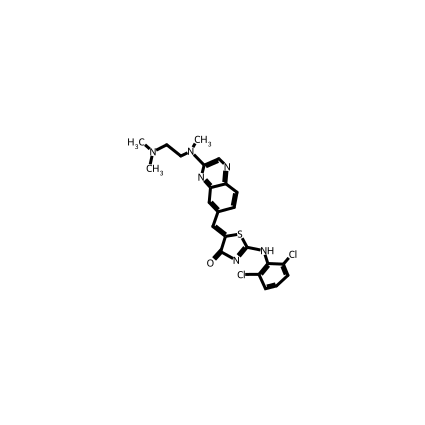 CN(C)CCN(C)c1cnc2ccc(/C=C3\SC(Nc4c(Cl)cccc4Cl)=NC3=O)cc2n1